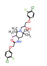 CC1(C)CC(NC(=O)COc2ccc(Cl)c(F)c2)C(I)C(C)(C)N1CC(O)COc1ccc(Cl)c(F)c1